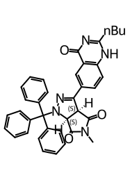 CCCCc1nc(=O)c2cc(C3=NN(C(c4ccccc4)(c4ccccc4)c4ccccc4)[C@@H]4C(=O)N(C)C(=O)[C@H]34)ccc2[nH]1